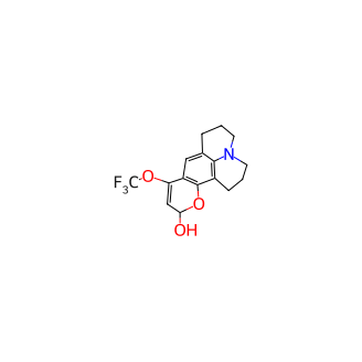 OC1C=C(OC(F)(F)F)c2cc3c4c(c2O1)CCCN4CCC3